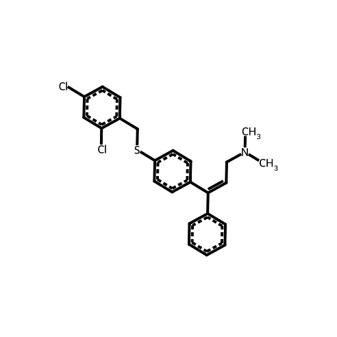 CN(C)CC=C(c1ccccc1)c1ccc(SCc2ccc(Cl)cc2Cl)cc1